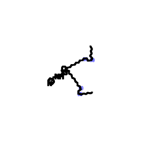 CCCCC/C=C\C/C=C\CCCCCCCCC1(CCCCCCCC/C=C\C/C=C\CCCCC)OCC(CCNCc2ccncc2)O1